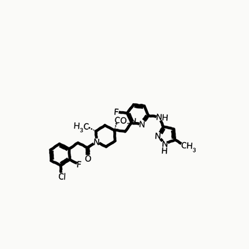 Cc1cc(Nc2ccc(F)c(C[C@@]3(C(=O)O)CCN(C(=O)Cc4cccc(Cl)c4F)[C@H](C)C3)n2)n[nH]1